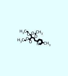 CCOC(=O)C(C(=O)OCC)C(Cc1ccc(C)cn1)OCC